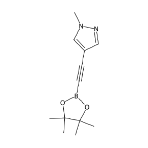 Cn1cc(C#CB2OC(C)(C)C(C)(C)O2)cn1